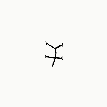 CC(I)(I)[C](I)I